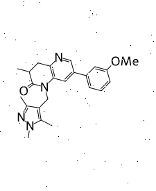 COc1cccc(-c2cnc3c(c2)N(Cc2c(C)nn(C)c2C)C(=O)C(C)C3)c1